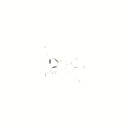 CC(C)Nc1cc(COC(C)C)ccc1OC1OC(CO)C(O)C(O)C1O